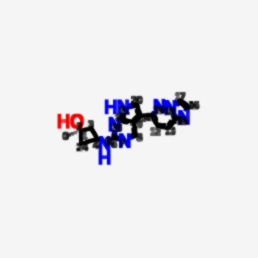 C[C@]1(O)C[C@@H](Nc2ncc3c(-c4ccc5nccn5n4)c[nH]c3n2)C1